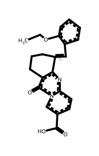 CCOc1ccccc1/C=C1\CCCc2c1nc1ccc(C(=O)O)cn1c2=O